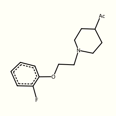 CC(=O)C1CCN(CCOc2ccccc2F)CC1